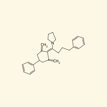 C=C1CC(c2ccccc2)CC(=C)C1=C(CCCc1ccccc1)N1CCCC1